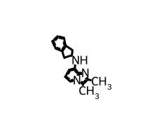 Cc1nc2c(NC3Cc4ccccc4C3)cccn2c1C